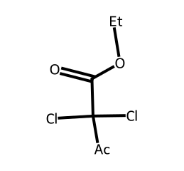 CCOC(=O)C(Cl)(Cl)C(C)=O